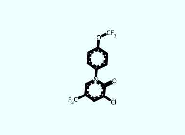 O=c1c(Cl)cc(C(F)(F)F)cn1-c1ccc(OC(F)(F)F)cc1